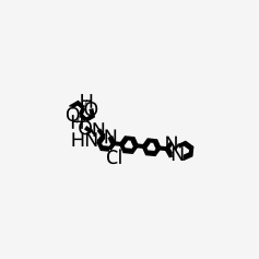 Clc1cc2[nH]c(OC3CO[C@@H]4CCO[C@H]34)nc2nc1-c1ccc(-c2ccc(-c3cn4ccccc4n3)cc2)cc1